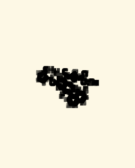 CN(c1nc(OC[C@@H]2CCCN2C)nc2c(F)c(-c3cccc4ccc(F)c(Cl)c34)ncc12)C1CN(C(=O)OC(C)(C)C)C1